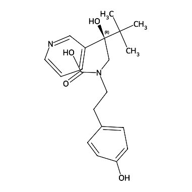 CC(C)(C)[C@](O)(CN(CCc1ccc(O)cc1)C(=O)O)c1cccnc1